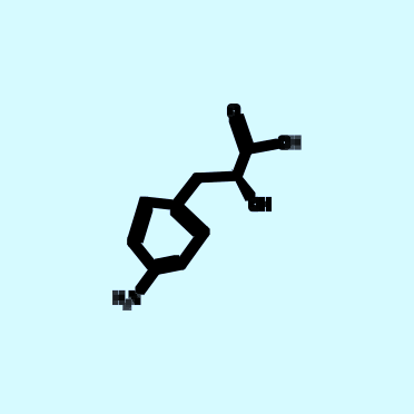 Nc1ccc(C[C@H](O)C(=O)O)cc1